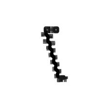 CC(C)CCCCCCCCCCCCCC=O